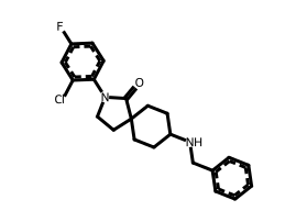 O=C1N(c2ccc(F)cc2Cl)CCC12CCC(NCc1ccccc1)CC2